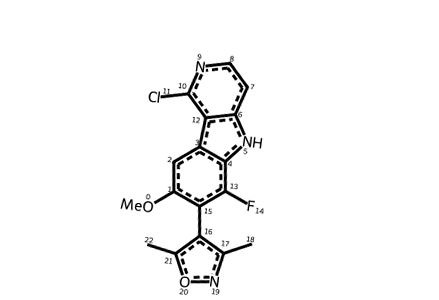 COc1cc2c([nH]c3ccnc(Cl)c32)c(F)c1-c1c(C)noc1C